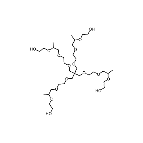 CC(COCCOCC(COCCOCC(C)OCCO)(COCCOCC(C)OCCO)COCCOCC(C)OCCO)OCCO